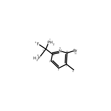 Cc1ccc(C(F)(P)P)nc1Br